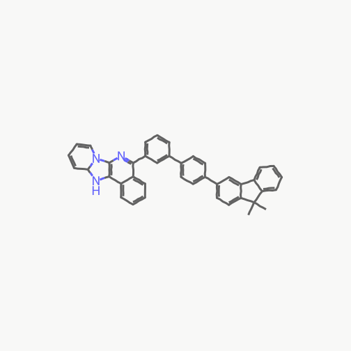 CC1(C)c2ccccc2-c2cc(-c3ccc(-c4cccc(-c5nc6c(c7ccccc57)NC5C=CC=CN65)c4)cc3)ccc21